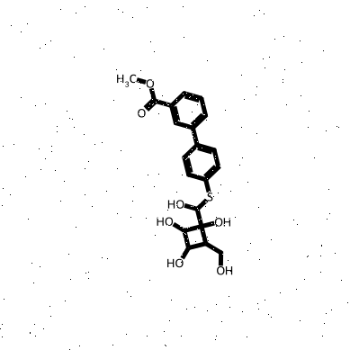 COC(=O)c1cccc(-c2ccc(SC(O)C3(O)C(O)C(O)C3CO)cc2)c1